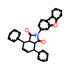 O=C1C2C(c3ccccc3)C=CC(c3ccccc3)C2C(=O)N1c1ccc2c(c1)oc1ccccc12